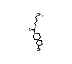 CCCCOC(=O)N1CCC2(CCC(O)C2)CC1